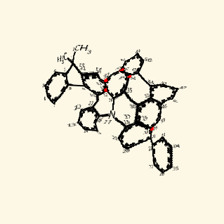 CC1(C)c2ccccc2-c2c(-c3ccccc3N(c3ccc(-c4ccccc4)cc3)c3ccccc3-c3cccc4cccc(-c5ccccc5)c34)cccc21